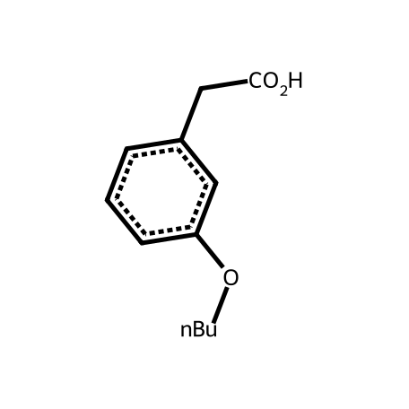 CCCCOc1cccc(CC(=O)O)c1